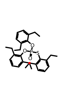 CCc1cccc(CC)c1OP(=O)(Oc1c(CC)cccc1CC)Sc1c(CC)cccc1CC